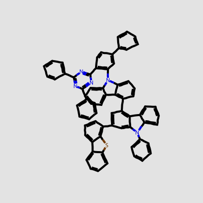 c1ccc(-c2ccc(-c3nc(-c4ccccc4)nc(-c4ccccc4)n3)c(-n3c4ccccc4c4c(-c5cc(-c6cccc7c6sc6ccccc67)cc6c5c5ccccc5n6-c5ccccc5)cccc43)c2)cc1